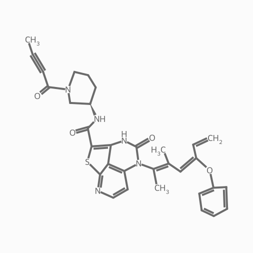 C=C/C(=C\C(C)=C(/C)N1C(=O)Nc2c(C(=O)N[C@@H]3CCCN(C(=O)C#CC)C3)sc3nccc1c23)Oc1ccccc1